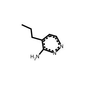 CCCc1ccnnc1N